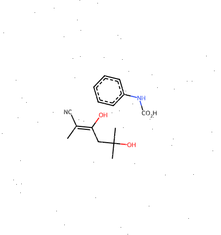 CC(C#N)=C(O)CC(C)(C)O.O=C(O)Nc1ccccc1